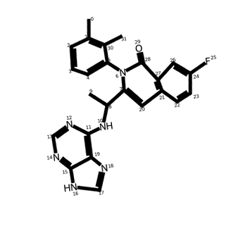 Cc1cccc(-n2c(C(C)Nc3ncnc4[nH]cnc34)cc3ccc(F)cc3c2=O)c1C